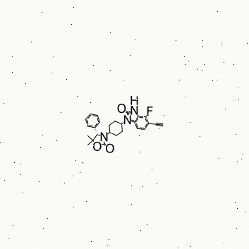 C#Cc1ccc2c([nH]c(=O)n2C2CCC(N3C(=O)OC(C)(C)[C@@H]3c3ccccc3)CC2)c1F